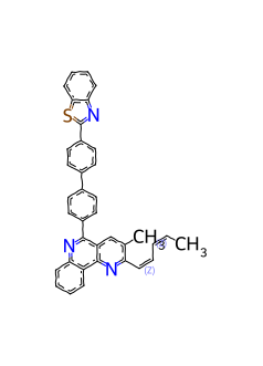 C/C=C\C=C/c1nc2c(cc1C)c(-c1ccc(-c3ccc(-c4nc5ccccc5s4)cc3)cc1)nc1ccccc12